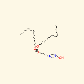 CCCCC/C=C\C/C=C\CCCCCCCCOC(CCCCCCC/C=C\C/C=C\CCCCC)O[Si](C)(C)OCCCCCCN1CCN(CCO)CC1